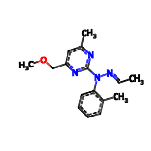 CC=NN(c1nc(C)cc(COC)n1)c1ccccc1C